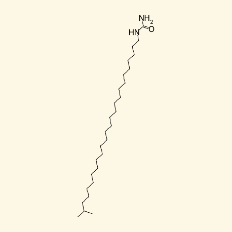 CC(C)CCCCCCCCCCCCCCCCCCCCCCCCNC(N)=O